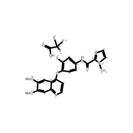 COc1cc2nccc(Oc3ccc(NC(=O)c4nccn4C)cc3F)c2cc1OC.O=C(O)C(F)(F)F